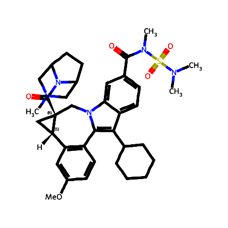 COc1ccc2c(c1)[C@@H]1C[C@]1(C(=O)N1C3CCC1CN(C)C3)Cn1c-2c(C2CCCCC2)c2ccc(C(=O)N(C)S(=O)(=O)N(C)C)cc21